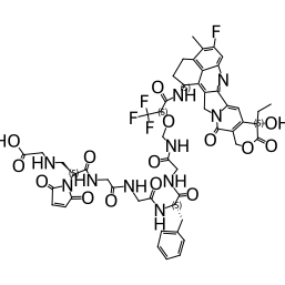 CC[C@@]1(O)C(=O)OCc2c1cc1n(c2=O)Cc2c-1nc1cc(F)c(C)c3c1c2[C@@H](NC(=O)[C@H](OCNC(=O)CNC(=O)[C@H](Cc1ccccc1)NC(=O)CNC(=O)CNC(=O)[C@H](CNCC(=O)O)N1C(=O)C=CC1=O)C(F)(F)F)CC3